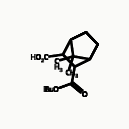 CC(C)COC(=O)C1C(C(=O)O)C2CCC1C2(C)C